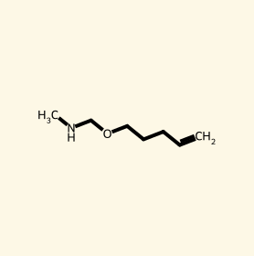 C=CCCCOCNC